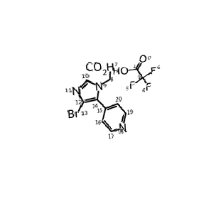 O=C(O)C(F)(F)F.O=C(O)Cn1cnc(Br)c1-c1ccncc1